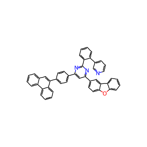 c1cncc(-c2ccccc2-c2nc(-c3ccc(-c4cc5ccccc5c5ccccc45)cc3)cc(-c3ccc4oc5ccccc5c4c3)n2)c1